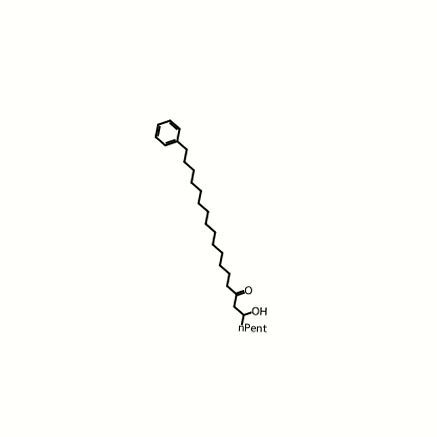 CCCCCC(O)CC(=O)CCCCCCCCCCCCCCc1ccccc1